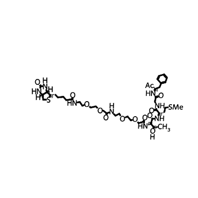 CSCC[C@H](NC(=O)[C@@H](NC(=O)COCCOCCNC(=O)COCCOCCNC(=O)CCCC[C@@H]1SC[C@@H]2NC(=O)N[C@@H]21)[C@@H](C)O)C(=O)NCC(=O)N[C@@H](Cc1ccccc1)C(C)=O